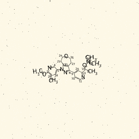 COc1ncc(-n2nc(-c3ccnc(C(C)ON(C)C)c3)c3c2CCOCC3)cc1C